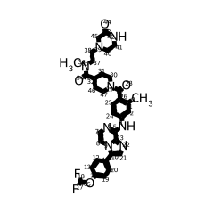 Cc1cc(Nc2nccn3c(-c4ccc(OC(F)F)cc4)cnc23)ccc1C(=O)N1CCC(C(=O)N(C)CCN2CCNC(=O)C2)CC1